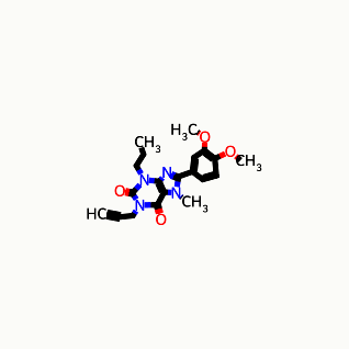 C#CCn1c(=O)c2c(nc(-c3ccc(OC)c(OC)c3)n2C)n(CCC)c1=O